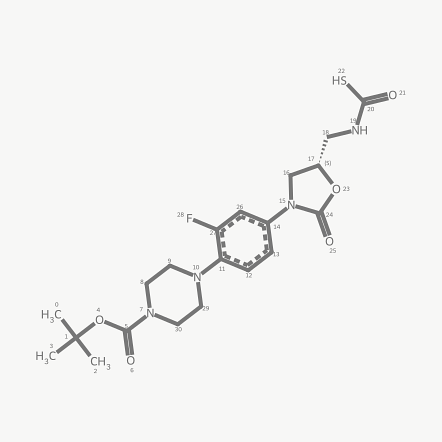 CC(C)(C)OC(=O)N1CCN(c2ccc(N3C[C@H](CNC(=O)S)OC3=O)cc2F)CC1